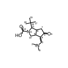 CN(C)/C=C1/C(=O)CC2C1CN(C(=O)O)C2C(C)(C)C